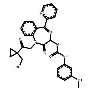 CNc1cccc(NC(=O)NC2N=C(c3ccccn3)c3ccccc3N(CC(=O)C3(CO)CC3)C2=O)c1